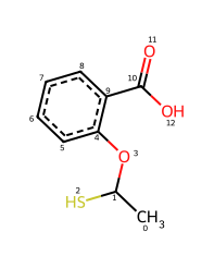 CC(S)Oc1ccccc1C(=O)O